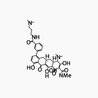 CNC(=O)C1=C(O)C(N(C)C)[C@@H]2C[C@@H]3Cc4c(-c5cccc(C(=O)NCCCN(C)C)c5)ccc(O)c4C(=O)C3=C(O)[C@]2(O)C1=O